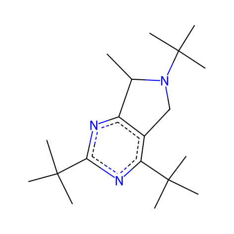 CC1c2nc(C(C)(C)C)nc(C(C)(C)C)c2CN1C(C)(C)C